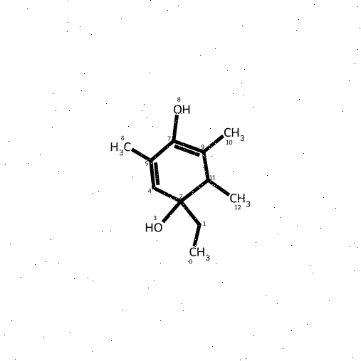 CCC1(O)C=C(C)C(O)=C(C)C1C